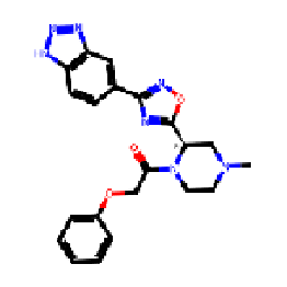 CN1CCN(C(=O)COc2ccccc2)[C@@H](c2nc(-c3ccc4[nH]nnc4c3)no2)C1